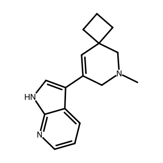 CN1CC(c2c[nH]c3ncccc23)=CC2(CCC2)C1